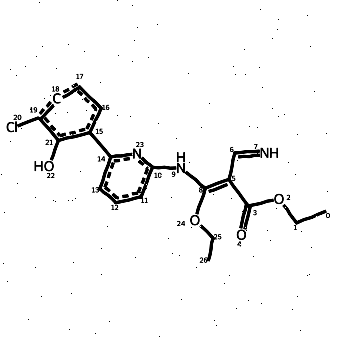 CCOC(=O)/C(C=N)=C(/Nc1cccc(-c2cccc(Cl)c2O)n1)OCC